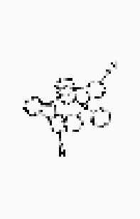 N#Cc1ccc([Si](c2ccccc2)(c2ccccc2)c2ccccc2)c(-c2cccc(-n3c4ccccc4c4cc(C#N)ccc43)c2)c1